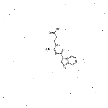 NC(=NC(=O)c1c[nH]c2ccccc12)NCCC(=O)O